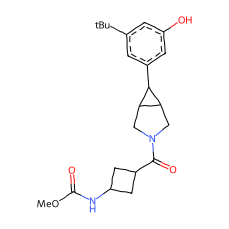 COC(=O)NC1CC(C(=O)N2CC3C(C2)C3c2cc(O)cc(C(C)(C)C)c2)C1